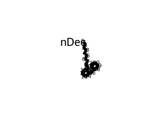 CCCCCCCCCCCCCCCCCCN1c2ccccc2Cc2ccccc21